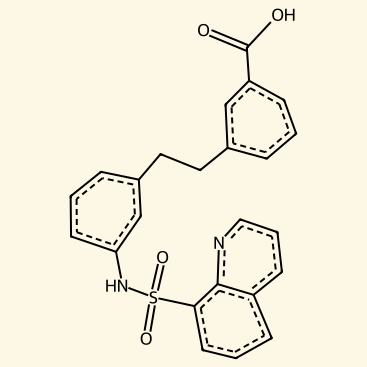 O=C(O)c1cccc(CCc2cccc(NS(=O)(=O)c3cccc4cccnc34)c2)c1